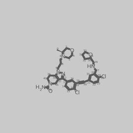 C[C@H]1COCCN1CCCn1nc(-c2ccc(Cl)c(C#Cc3ccc(Cl)c(CNCC4CCCO4)c3)c2)c2c1CCN(C(N)=O)C2